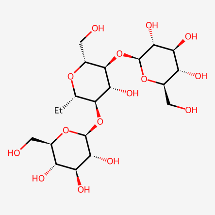 CC[C@@H]1O[C@H](CO)[C@@H](O[C@@H]2O[C@H](CO)[C@@H](O)[C@H](O)[C@H]2O)[C@H](O)[C@H]1O[C@@H]1O[C@H](CO)[C@@H](O)[C@H](O)[C@H]1O